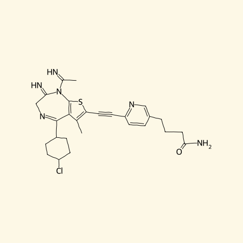 CC(=N)N1C(=N)CN=C(C2CCC(Cl)CC2)c2c1sc(C#Cc1ccc(CCCC(N)=O)cn1)c2C